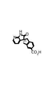 O=C(O)c1ccc2c(c1)C[C@@]1(C2)C(=O)Nc2ncccc21